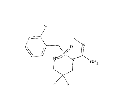 C/N=C(/N)N1CC(F)(F)CN=S1(=O)Cc1ccccc1F